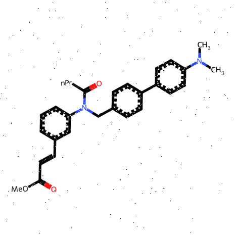 CCCC(=O)N(Cc1ccc(-c2ccc(N(C)C)cc2)cc1)c1cccc(/C=C/C(=O)OC)c1